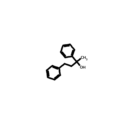 CC(O)(CCc1ccccc1)c1ccccc1